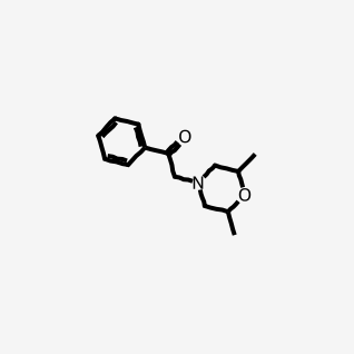 CC1CN(CC(=O)c2ccccc2)CC(C)O1